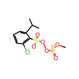 CO[PH](=O)OOS(=O)(=O)c1c(Cl)cccc1C(C)C